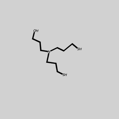 OCCCN(CCCS)CCCS